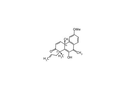 C=CC[C@]1(C)C(=O)C=C[C@@]2(C)C1=C(O)C(=C)c1ccc(OC)cc12